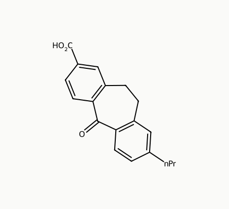 CCCc1ccc2c(c1)CCc1cc(C(=O)O)ccc1C2=O